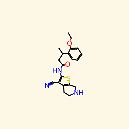 CCOc1ccccc1C(C)CC(=O)Nc1sc2c(c1C#N)CCNC2